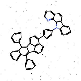 c1ccc(-c2c3c(c(-c4ccccc4)c4ccccc24)-c2ccc(-c4ccc(-n5c6ccccc6c6ccc7cccnc7c65)cc4)c4cccc-3c24)cc1